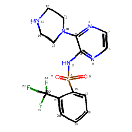 O=S(=O)(Nc1nccnc1N1CCNCC1)c1ccccc1C(F)(F)F